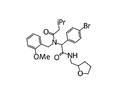 COc1ccccc1CN(C(=O)CC(C)C)C(C(=O)NCC1CCCO1)c1ccc(Br)cc1